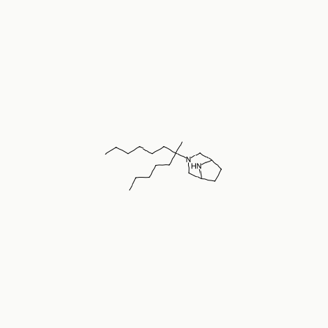 CCCCCCC(C)(CCCCC)N1CC2CCC(C1)N2